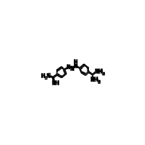 N=C(N)c1ccc(/N=N/Nc2ccc(C(N)N)cc2)cc1